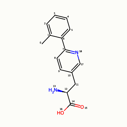 Cc1ccccc1-c1ccc(C[C@H](N)C(=O)O)cn1